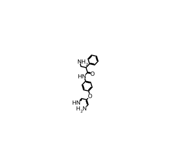 N=C/C(=C\N)Oc1ccc(NC(=O)C(CN)c2ccccc2)cc1